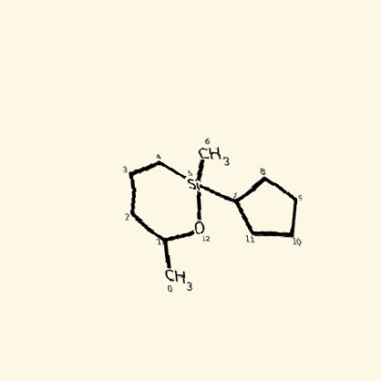 CC1CCC[Si](C)(C2CCCC2)O1